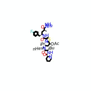 CCCCCCN(C(=O)[C@@H](NC(=O)[C@H]1CCCCN1C)C(C)CC)[C@H](C[C@@H](OC(C)=O)c1nc(C(=O)N[C@@H](Cc2ccc(F)cc2)C[C@H](C)C(=O)NN)cs1)C(C)C